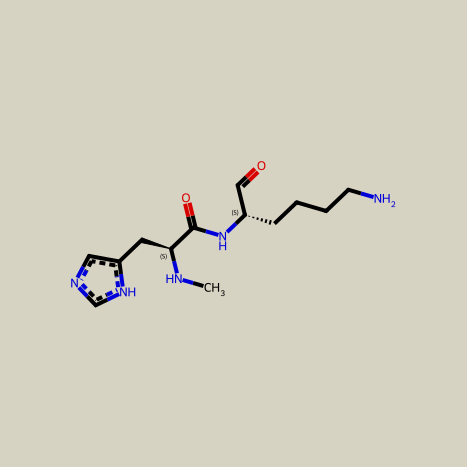 CN[C@@H](Cc1cnc[nH]1)C(=O)N[C@H](C=O)CCCCN